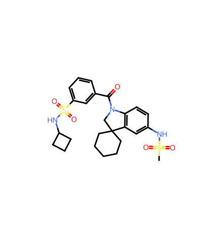 CS(=O)(=O)Nc1ccc2c(c1)C1(CCCCC1)CN2C(=O)c1cccc(S(=O)(=O)NC2CCC2)c1